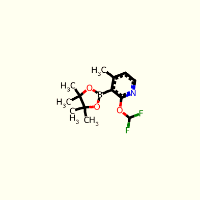 Cc1ccnc(OC(F)F)c1B1OC(C)(C)C(C)(C)O1